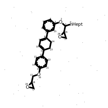 CCCCCCCC(Oc1cccc(C2=CC=C(c3ccc(OCC4CO4)cc3)CC2)c1)C1CO1